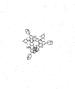 Cc1cc(C)c(N2c3cc4c(cc3B3c5cc6c(cc5Oc5cc(C78CC9CC(CC(C9)C7)C8)cc2c53)N(c2c(C)cc(C)cc2C)c2cc(C35CC7CC(CC(C7)C3)C5)cc3c2B6c2sc5ccccc5c2O3)B2c3sc5ccccc5c3Oc3cc(C56CC7CC(CC(C7)C5)C6)cc(c32)N4)c(C)c1